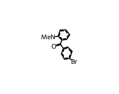 CNc1ccccc1C(=O)c1ccc(Br)cc1